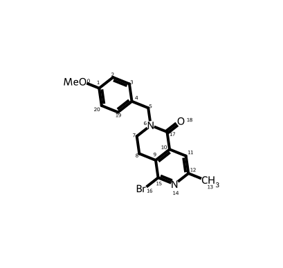 COc1ccc(CN2CCc3c(cc(C)nc3Br)C2=O)cc1